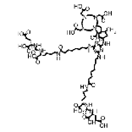 CC1CC(Nc2nc(NCCCCCCCC(=O)NCCCC[C@H](NC(=O)N[C@@H](CCC(=O)O)C(=O)O)C(=O)O)nc(NCCCCCCCC(=O)NCCCC[C@H](NC(=O)N[C@@H](CCC(=O)O)C(=O)O)C(=O)O)n2)=CC=C1CC1CN(CC(=O)O)CCN(CC(=O)O)CCN(CC(=O)O)CCN1CC(=O)O